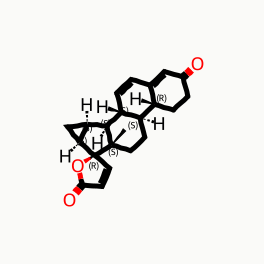 C[C@]12CC[C@H]3[C@@H](C=CC4=CC(=O)CC[C@@H]43)[C@@H]1[C@@H]1C[C@@H]1[C@@]21C=CC(=O)O1